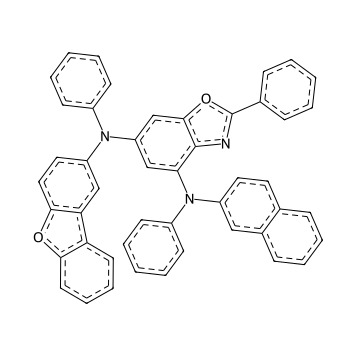 c1ccc(-c2nc3c(N(c4ccccc4)c4ccc5ccccc5c4)cc(N(c4ccccc4)c4ccc5oc6ccccc6c5c4)cc3o2)cc1